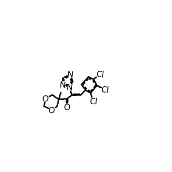 CC1(C(=O)C(=Cc2ccc(Cl)c(Cl)c2Cl)n2cncn2)COCOC1